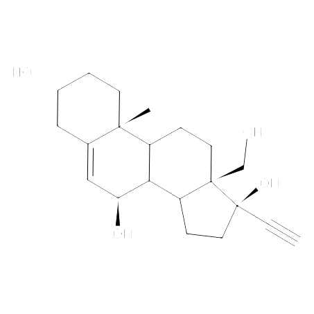 C#C[C@]1(O)CCC2C3C(CC[C@@]21CO)[C@@]1(C)CC[C@@H](O)CC1=C[C@@H]3O